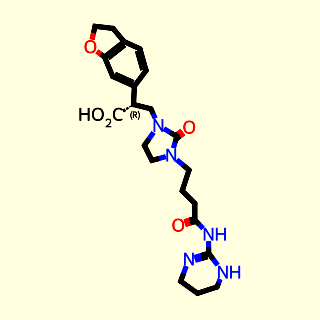 O=C(CCCN1CCN(C[C@H](C(=O)O)c2ccc3c(c2)OCC3)C1=O)NC1=NCCCN1